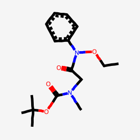 CCON(C(=O)CN(C)C(=O)OC(C)(C)C)c1ccccc1